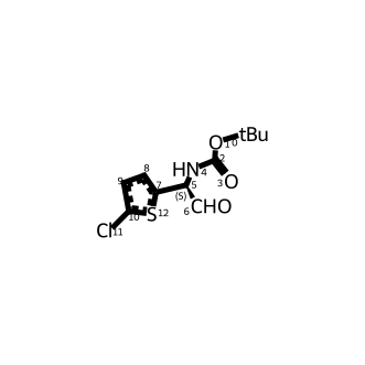 CC(C)(C)OC(=O)N[C@@H](C=O)c1ccc(Cl)s1